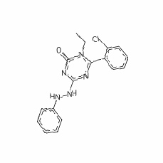 CCn1c(-c2ccccc2Cl)nc(NNc2ccccc2)nc1=O